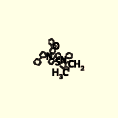 C=Cc1c(/C=C\C)cccc1N(c1ccccc1)c1cccc2c1sc1cccc(N(c3cccc(-c4ccccc4)c3)c3ccc4oc5ccccc5c4c3)c12